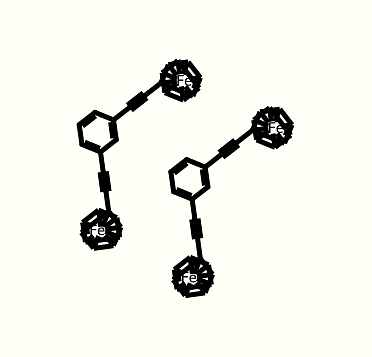 C(#C[C]12[CH]3[CH]4[CH]5[CH]1[Fe]45321678[CH]2[CH]1[CH]6[CH]7[CH]28)c1cccc(C#C[C]23[CH]4[CH]5[CH]6[CH]2[Fe]56432789[CH]3[CH]2[CH]7[CH]8[CH]39)c1.C(#C[C]12[CH]3[CH]4[CH]5[CH]1[Fe]45321678[CH]2[CH]1[CH]6[CH]7[CH]28)c1cccc(C#C[C]23[CH]4[CH]5[CH]6[CH]2[Fe]56432789[CH]3[CH]2[CH]7[CH]8[CH]39)c1